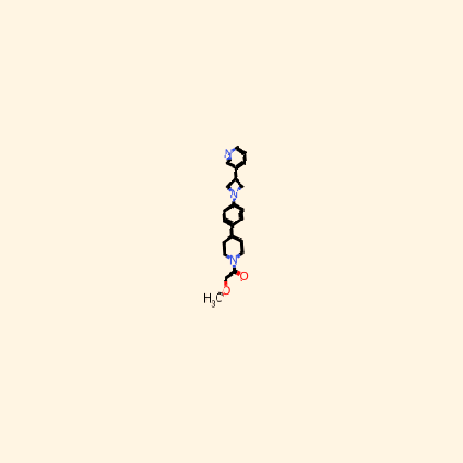 COCC(=O)N1CCC(c2ccc(N3CC(c4cccnc4)C3)cc2)CC1